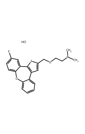 CN(C)CCOCc1cc2c(s1)-c1cc(F)ccc1Oc1ccccc1-2.Cl